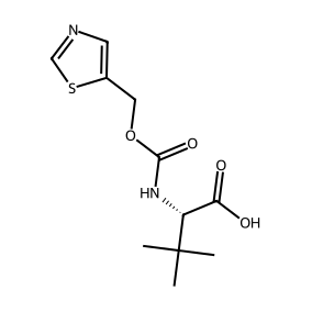 CC(C)(C)[C@H](NC(=O)OCc1cncs1)C(=O)O